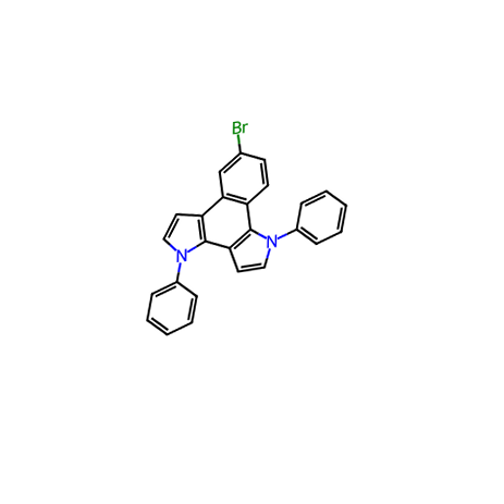 Brc1ccc2c(c1)c1ccn(-c3ccccc3)c1c1ccn(-c3ccccc3)c21